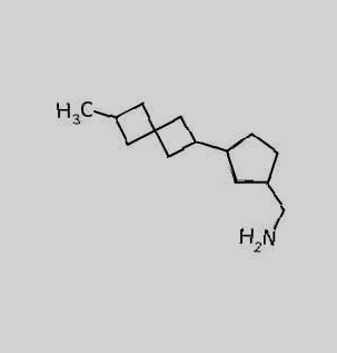 CC1CC2(C1)CC(C1CCC(CN)C1)C2